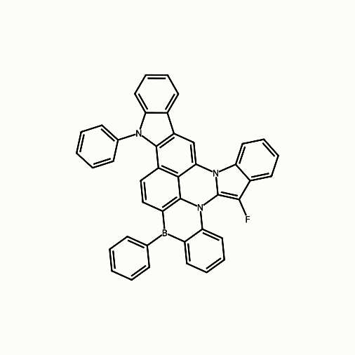 Fc1c2ccccc2n2c3cc4c5ccccc5n(-c5ccccc5)c4c4ccc5c(c43)n(c12)-c1ccccc1B5c1ccccc1